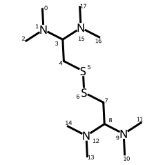 CN(C)C(CSSCC(N(C)C)N(C)C)N(C)C